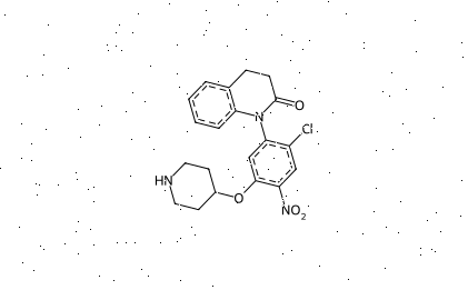 O=C1CCc2ccccc2N1c1cc(OC2CCNCC2)c([N+](=O)[O-])cc1Cl